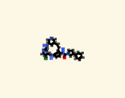 O=C(Nc1ccc2cc1CCc1cncc(c1)Nc1ncc(Cl)c(n1)N2)N1CCC(c2ccccc2)C1